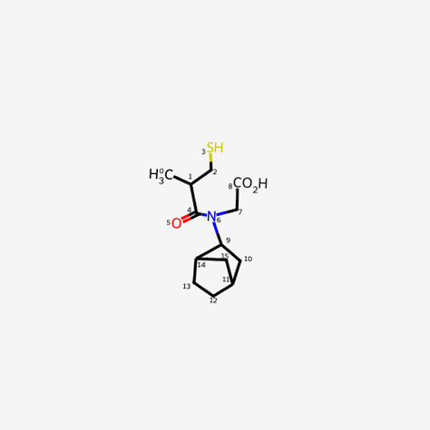 CC(CS)C(=O)N(CC(=O)O)C1CC2CCC1C2